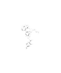 CN(C)C(=O)NC1CCN(c2n[nH]c3nccc(-c4ccc(CNC(=O)c5ccc(C(C)(C)O)cc5F)c(F)c4)c23)C1